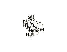 CCCCCCN.N.O=P(O)(O)CCCCP(=O)(O)O